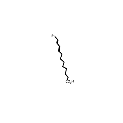 CCC=CC=CCCCCCCCC(=O)O